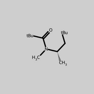 C[C@@H](CC(C)(C)C)N(C)C(=O)C(C)(C)C